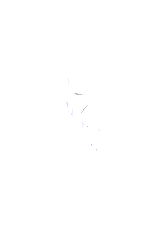 C[C@H]1CNCCN1c1cc(I)c(Cl)cn1